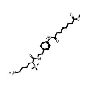 COC(=O)CCCCCCC(=O)Nc1ccc(CCNC(=O)[C@H](CCCCN)[N+](C)(C)C)cc1